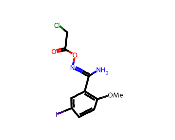 COc1ccc(I)cc1/C(N)=N/OC(=O)CCl